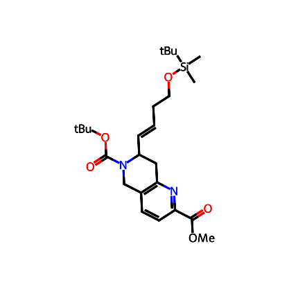 COC(=O)c1ccc2c(n1)CC(C=CCCO[Si](C)(C)C(C)(C)C)N(C(=O)OC(C)(C)C)C2